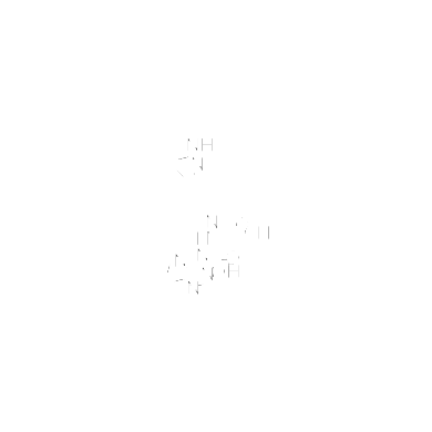 COCCN(CCCCc1ccc2c(n1)NCCC2)CCC(Nc1ncnc2cccnc12)C(=O)O